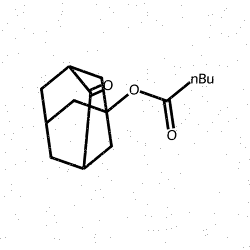 CCCCC(=O)OC12CC3CC(C1)C(=O)C(C3)C2